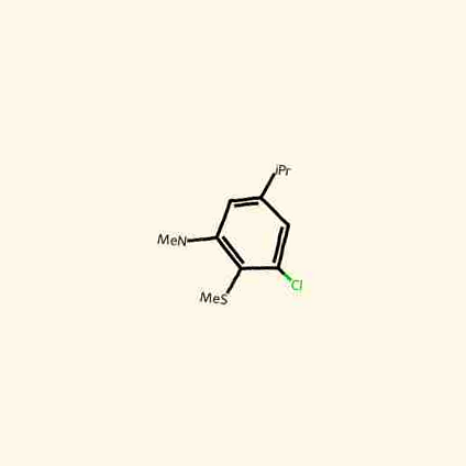 CNc1cc(C(C)C)cc(Cl)c1SC